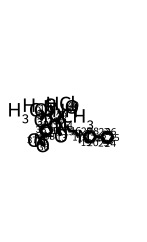 COC(=O)C1=C(C)NC(C)=C(N(C=O)CCCCN2CCC(c3ccccc3)CC2)C1c1ccc([N+](=O)[O-])cc1.Cl.O